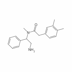 Cc1ccc(CC(=O)N(C)C(CN)c2ccccc2)cc1C